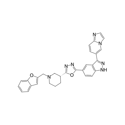 c1ccc2oc(CN3CCC[C@@H](c4nnc(-c5ccc6[nH]nc(-c7ccc8nccn8c7)c6c5)o4)C3)cc2c1